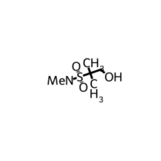 CNS(=O)(=O)C(C)(C)CO